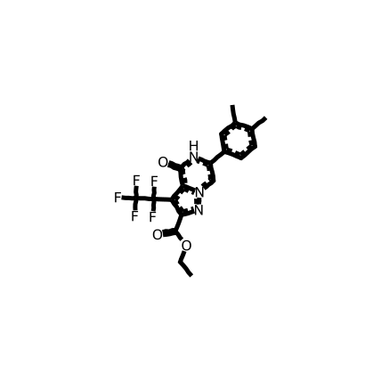 CCOC(=O)c1nn2cc(-c3ccc(C)c(C)c3)[nH]c(=O)c2c1C(F)(F)C(F)(F)F